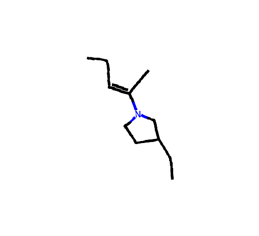 CC/C=C(\C)N1CCC(CC)C1